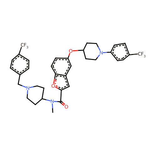 CN(C(=O)c1cc2cc(OC3CCN(c4ccc(C(F)(F)F)cc4)CC3)ccc2o1)C1CCN(Cc2ccc(C(F)(F)F)cc2)CC1